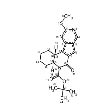 CSc1ncc2cc3n(c2n1)[C@H]1CCCC[C@@H]1N(C(=O)OC(C)(C)C)C3=O